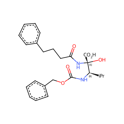 CC(C)[C@@H](NC(=O)OCc1ccccc1)[C@@](O)(NC(=O)CCCc1ccccc1)C(=O)O